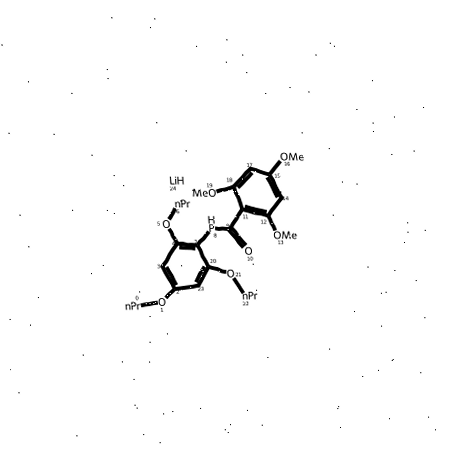 CCCOc1cc(OCCC)c(PC(=O)c2c(OC)cc(OC)cc2OC)c(OCCC)c1.[LiH]